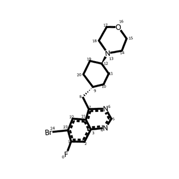 Fc1cc2ncnc(C[C@H]3CC[C@H](N4CCOCC4)CC3)c2cc1Br